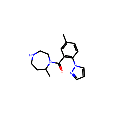 Cc1ccc(-n2cccn2)c(C(=O)N2CCNCCC2C)c1